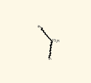 CC(C)CCCCCCCCCCCCCCC(CCCCCCCCCCCCC(C)C)C(=O)O